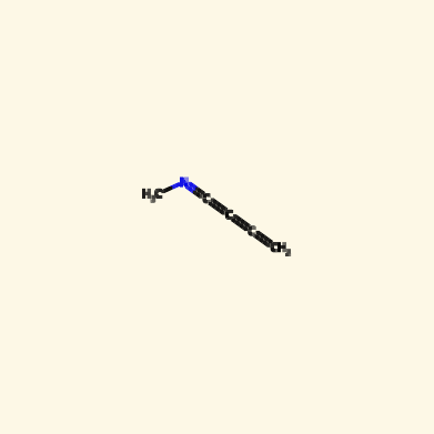 C=C=C=C=NC